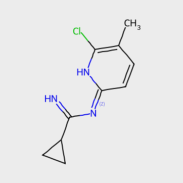 Cc1cc/c(=N/C(=N)C2CC2)[nH]c1Cl